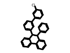 Clc1cccc(-c2cccc(C3c4ccccc4-c4ccccc4C3c3ccccc3)c2)c1